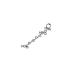 O=C(O)CCOCCOCCOCCOCCNC(=O)OCC1[C@H]2CCC#CCC[C@@H]12